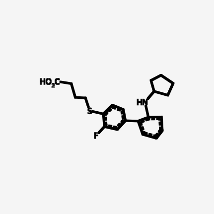 O=C(O)CCCSc1ccc(-c2ccccc2NC2CCCC2)cc1F